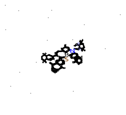 C/C=C1\C(=C/CN2C3=C4B(c5cc6c(cc52)[C@]2(C)CCC6(C)C2)c2sc5cc6c(cc5c2C(C2=CC5C(C=C2)C(C)(C)CCC5(C)C)CCC4CC(C)=C3)C(C)C2CCC(C2)C6C)C(C)(C)CCC1(C)C